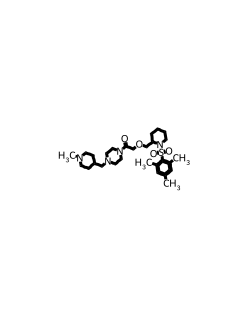 Cc1cc(C)c(S(=O)(=O)N2CCCCC2COCC(=O)N2CCN(CC3CCN(C)CC3)CC2)c(C)c1